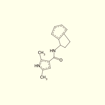 Cc1cc(C(=O)NC2CCc3ccccc32)c(C)[nH]1